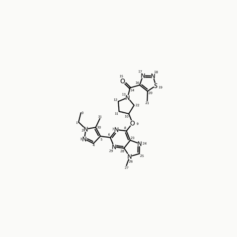 CCn1ncc(-c2nc(OC3CCN(C(=O)c4nnsc4C)C3)c3ncn(C)c3n2)c1C